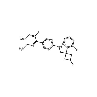 CN/C=C(F)\C(=N/CN)c1cnc(NC[C@]2(c3ncccc3F)C[C@H](F)C2)nc1